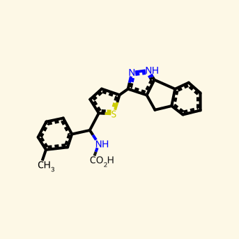 Cc1cccc(C(NC(=O)O)c2ccc(-c3n[nH]c4c3Cc3ccccc3-4)s2)c1